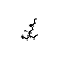 [2H]C[C@H](CC)[C@H](C)CPCC